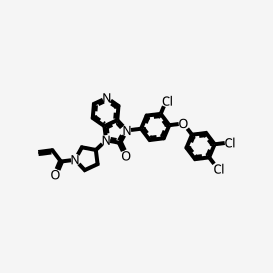 C=CC(=O)N1CCC(n2c(=O)n(-c3ccc(Oc4ccc(Cl)c(Cl)c4)c(Cl)c3)c3cnccc32)C1